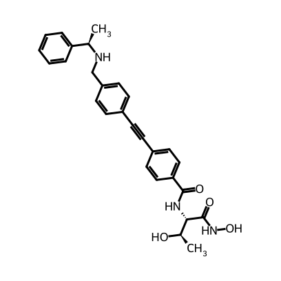 C[C@@H](NCc1ccc(C#Cc2ccc(C(=O)N[C@H](C(=O)NO)[C@@H](C)O)cc2)cc1)c1ccccc1